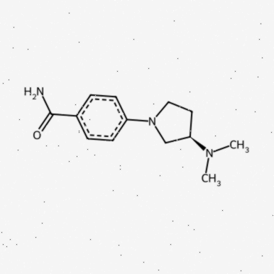 CN(C)[C@@H]1CCN(c2ccc(C(N)=O)cc2)C1